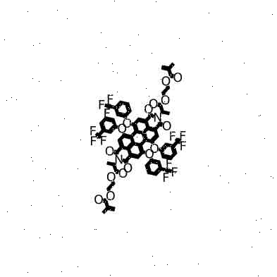 C=C(C)C(=O)OCCOC(=O)C(C)N1C(=O)c2cc(Oc3cccc(C(F)(F)F)c3)c3c4c(Oc5cccc(C(F)(F)F)c5)cc5c6c(cc(Oc7cccc(C(F)(F)F)c7)c(c7c(Oc8cccc(C(F)(F)F)c8)cc(c2c37)C1=O)c64)C(=O)N(C(C)C(=O)OCCOC(=O)C(=C)C)C5=O